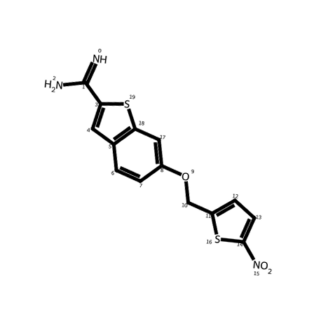 N=C(N)c1cc2ccc(OCc3ccc([N+](=O)[O-])s3)cc2s1